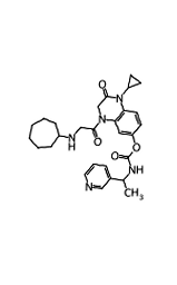 CC(NC(=O)Oc1ccc2c(c1)N(C(=O)CNC1CCCCCC1)CC(=O)N2C1CC1)c1cccnc1